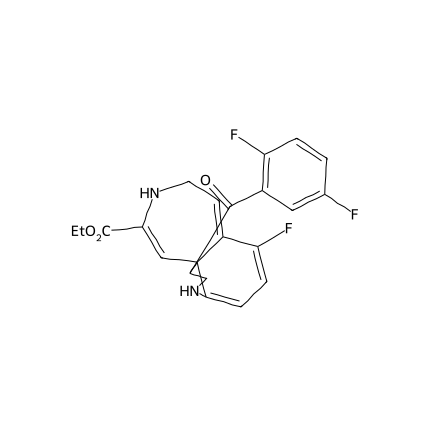 CCOC(=O)C1=CC23C(=CC=C(F)C2=CCN1)NCC3C(=O)c1cc(F)ccc1F